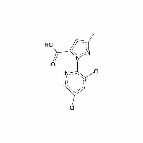 Cc1cc(C(=O)O)n(-c2ncc(Cl)cc2Cl)n1